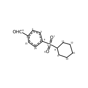 O=Cc1ccc(S(=O)(=O)C2CCCCC2)cc1